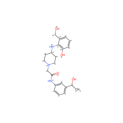 CC(O)c1cccc(NC(=O)CN2CCC(Nc3c(O)cccc3CO)CC2)c1